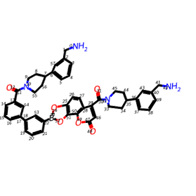 NCc1cccc(C2CCN(C(=O)c3cccc(-c4cccc(B5Oc6ccc7c(C(=O)N8CCC(c9cccc(CN)c9)CC8)cc(=O)oc7c6O5)c4)c3)CC2)c1